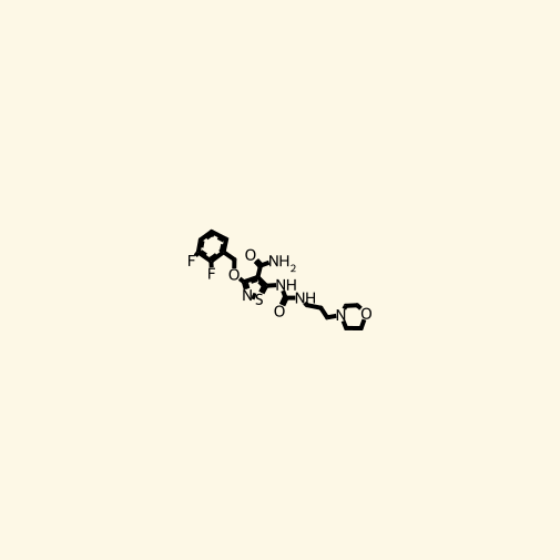 NC(=O)c1c(OCc2cccc(F)c2F)nsc1NC(=O)NCCCN1CCOCC1